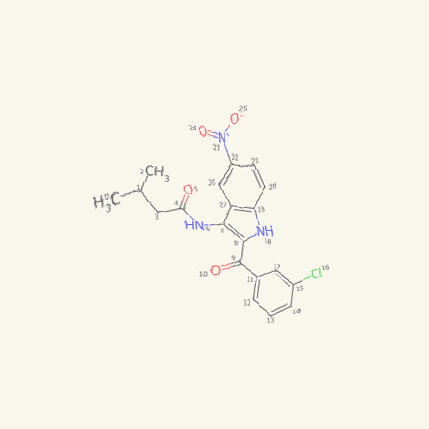 CC(C)CC(=O)Nc1c(C(=O)c2cccc(Cl)c2)[nH]c2ccc([N+](=O)[O-])cc12